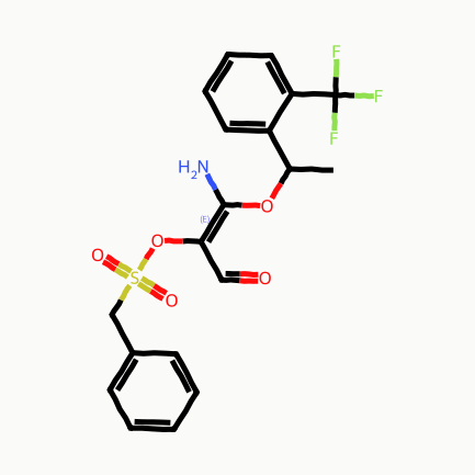 CC(O/C(N)=C(\C=O)OS(=O)(=O)Cc1ccccc1)c1ccccc1C(F)(F)F